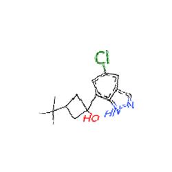 CC(C)(C)C1CC(O)(c2cc(Cl)cc3cn[nH]c23)C1